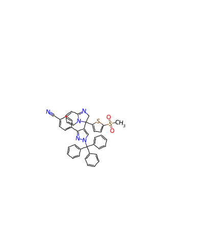 CS(=O)(=O)c1ccc(C2(c3cn(C(c4ccccc4)(c4ccccc4)c4ccccc4)nc3-c3ccc(C#N)cc3)CN=C3C=CC=CN32)s1